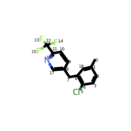 Cc1ccc(Cl)c(Cc2ccc(C(F)(F)F)nc2)c1